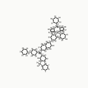 CC1(C)c2ccccc2-c2ccc(N(c3ccc(-c4ccccc4)cc3)c3ccc4cc(-c5ccc6c(c5)-c5ccccc5C65c6ccccc6N(c6ccccc6)c6ccccc65)ccc4c3)cc21